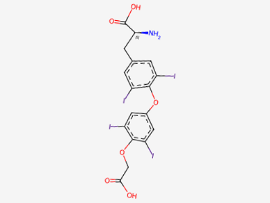 N[C@@H](Cc1cc(I)c(Oc2cc(I)c(OCC(=O)O)c(I)c2)c(I)c1)C(=O)O